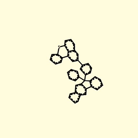 c1ccc(C2(c3cccc(-c4cc5c6c(cccc6c4)Sc4ccccc4-5)c3)c3ccccc3-c3cc4ccccc4cc32)cc1